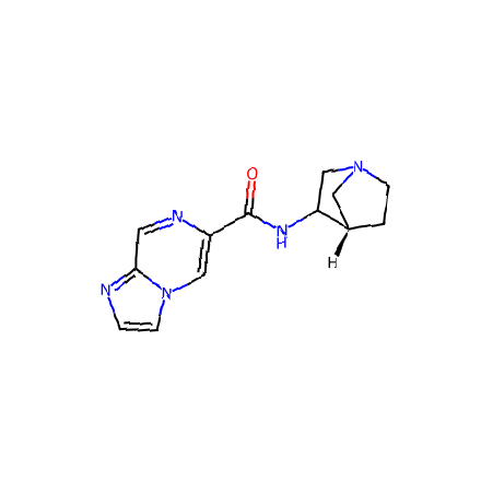 O=C(NC1CN2CC[C@H]1C2)c1cn2ccnc2cn1